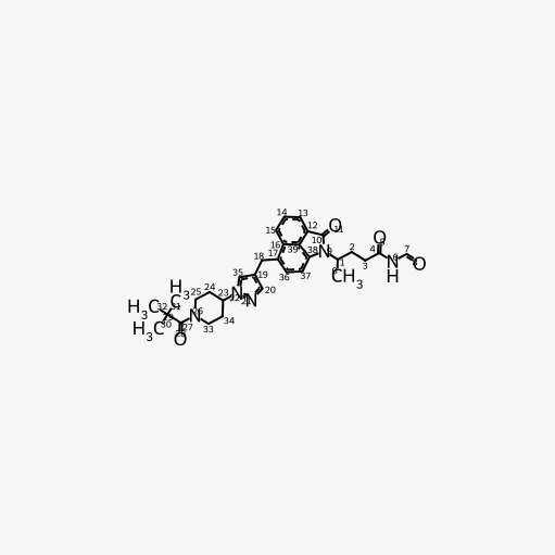 CC(CCC(=O)NC=O)N1C(=O)c2cccc3c(Cc4cnn(C5CCN(C(=O)C(C)(C)C)CC5)c4)ccc1c23